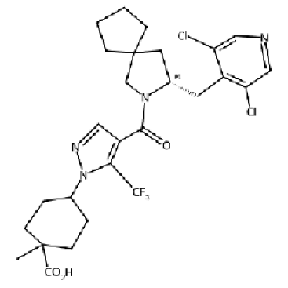 CC1(C(=O)O)CCC(n2ncc(C(=O)N3CC4(CCCC4)C[C@@H]3Cc3c(Cl)cncc3Cl)c2C(F)(F)F)CC1